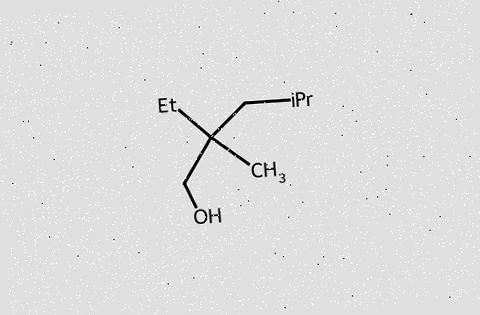 CCC(C)(CO)CC(C)C